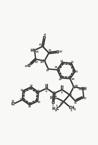 CC(C)(C)C1(NC(=O)Nc2ccc(Cl)cc2)C=CNN1c1cccc(CN2C(=O)NC(=O)C2=O)c1